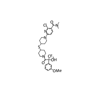 COc1cccc(C(O)(C(=O)N2CCC(SC3CCN(c4ccc(C(=O)N(C)C)c(Cl)n4)CC3)CC2)C(F)(F)F)c1